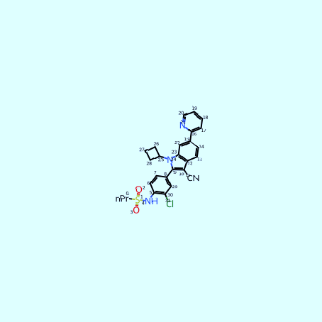 CCCS(=O)(=O)Nc1ccc(-c2c(C#N)c3ccc(-c4ccccn4)cc3n2C2CCC2)cc1Cl